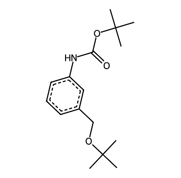 CC(C)(C)OCc1cccc(NC(=O)OC(C)(C)C)c1